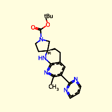 Cc1nc2c(cc1-c1ncccn1)CC[C@]1(CCN(C(=O)OC(C)(C)C)C1)N2